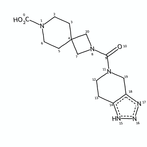 O=C(O)N1CCC2(CC1)CN(C(=O)N1CCc3[nH]nnc3C1)C2